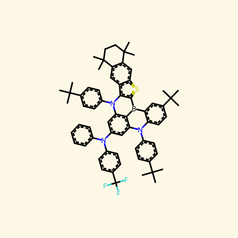 CC(C)(C)c1ccc(N2c3ccc(C(C)(C)C)cc3B3c4sc5cc6c(cc5c4N(c4ccc(C(C)(C)C)cc4)c4cc(N(c5ccccc5)c5ccc(C(F)(F)F)cc5)cc2c43)C(C)(C)CCC6(C)C)cc1